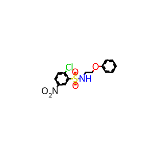 O=[N+]([O-])c1ccc(Cl)c(S(=O)(=O)NCCOc2ccccc2)c1